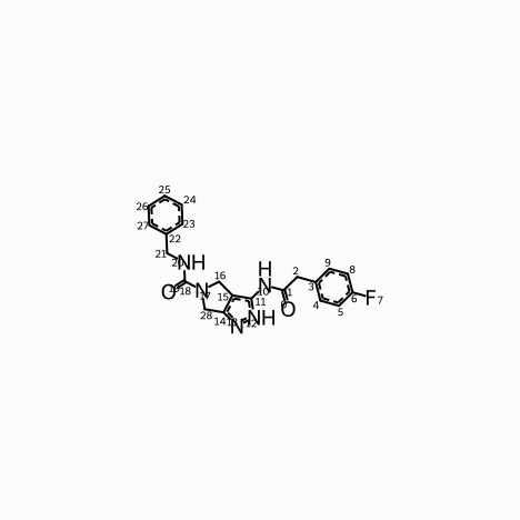 O=C(Cc1ccc(F)cc1)Nc1[nH]nc2c1CN(C(=O)NCc1ccccc1)C2